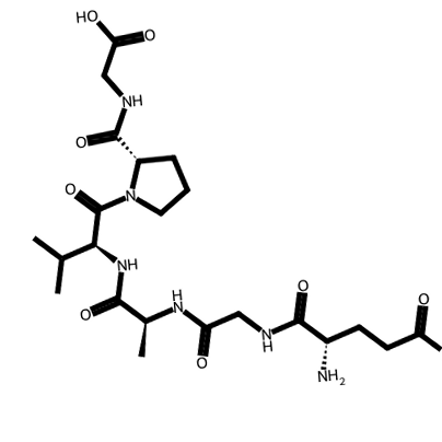 CC(C)[C@H](NC(=O)[C@H](C)NC(=O)CNC(=O)[C@@H](N)CCC(=O)O)C(=O)N1CCC[C@H]1C(=O)NCC(=O)O